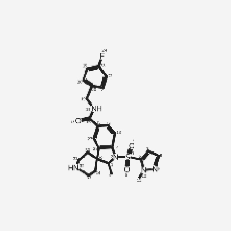 CC1N(S(=O)(=O)c2ccnn2C)c2ccc(C(=O)NCc3ccc(F)cc3)cc2C12CCNCC2